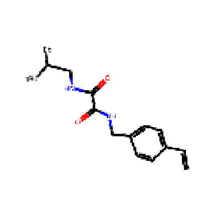 C=Cc1ccc(CNC(=O)C(=O)NCC(CC)CCCC)cc1